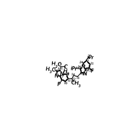 C=C(C)c1c(C)nc2c(F)cc(C(C)CCc3nc4c(F)cc(C(C)C)cn4c3C(C)C)cn12